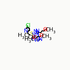 COCCCc1nnc(NSC(C)C(C)c2ccc(Cl)cn2)n1-c1c(OC)ncnc1OC